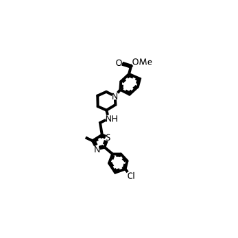 COC(=O)c1cccc(N2CCCC(NCc3sc(-c4ccc(Cl)cc4)nc3C)C2)c1